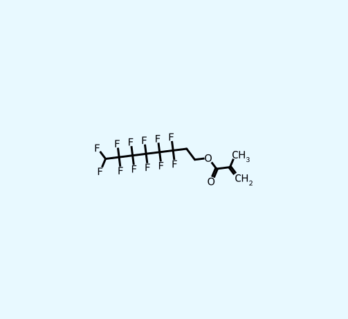 C=C(C)C(=O)OCCC(F)(F)C(F)(F)C(F)(F)C(F)(F)C(F)(F)C(F)F